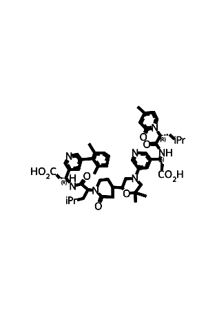 Cc1ccn([C@H](CC(C)C)C(=O)N[C@@H](CC(=O)O)c2cncc(N3CC(C4CCN(C(CC(C)C)C(=O)N[C@H](CC(=O)O)c5cncc(-c6c(C)cccc6C)c5)C(=O)C4)OC(C)(C)C3)c2)c(=O)c1